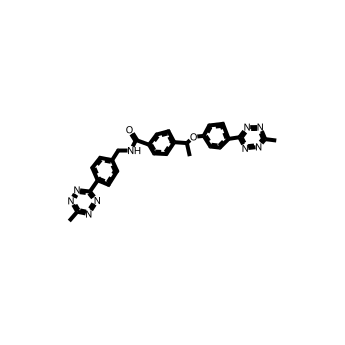 Cc1nnc(-c2ccc(CNC(=O)c3ccc(C(C)Oc4ccc(-c5nnc(C)nn5)cc4)cc3)cc2)nn1